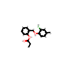 CCC(=O)Oc1ccccc1COc1ccc(C)cc1F